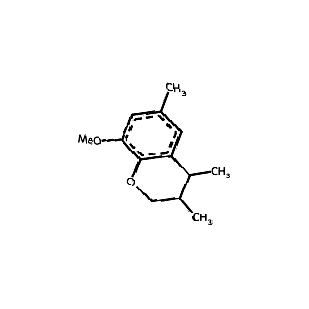 COc1cc(C)cc2c1OCC(C)C2C